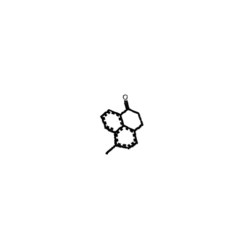 Cc1ccc2c3c(cccc13)C(=O)CC2